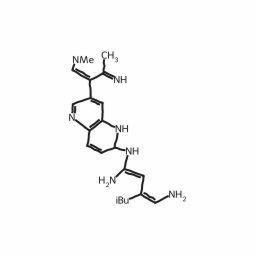 CCC(C)C(=C/N)/C=C(\N)NC1C=Cc2ncc(/C(=C/NC)C(C)=N)cc2N1